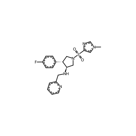 Cn1cnc(S(=O)(=O)N2C[C@@H](NCc3ccccn3)[C@H](c3ccc(F)cc3)C2)c1